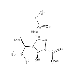 CCC(CC)[C@@H](NC(C)=O)[C@@H]1[C@H](O)[C@@H](C(=O)OC)C[C@H]1NC(=O)OC(C)(C)C